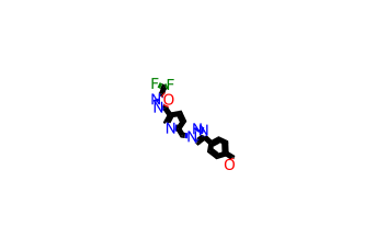 O=Cc1ccc(-c2cn(Cc3ccc(-c4nnc(C(F)F)o4)cn3)nn2)cc1